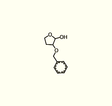 OC1OCCC1OCc1ccccc1